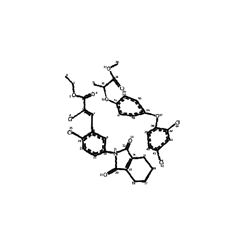 CCOC(=O)/C(Cl)=C/c1cc(N2C(=O)C3=C(CCCC3)C2=O)ccc1Cl.COC(=O)C(C)Oc1ccc(Oc2ccc(Cl)cc2Cl)cc1